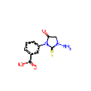 NN1CC(=O)N(c2cccc(C(=O)O)c2)C1=S